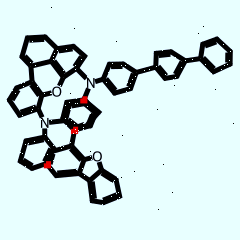 c1ccc(-c2ccc(-c3ccc(N(c4ccc(-c5cccc6c5oc5ccccc56)cc4)c4ccc5cccc6c5c4Oc4c-6cccc4N(c4ccccc4)c4ccccc4)cc3)cc2)cc1